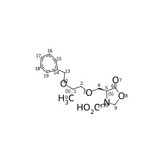 C[C@@H](COC[C@H]1C(=O)OCN1C(=O)O)OCc1ccccc1